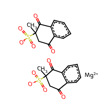 CC1(S(=O)(=O)[O-])CC(=O)c2ccccc2C1=O.CC1(S(=O)(=O)[O-])CC(=O)c2ccccc2C1=O.[Mg+2]